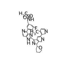 Cc1ccncc1-c1cc2c(cn1)C(C1CCCCO1)N=C2c1nc2c(-c3cc(F)cc(CNS(C)(=O)=O)c3)nccc2[nH]1